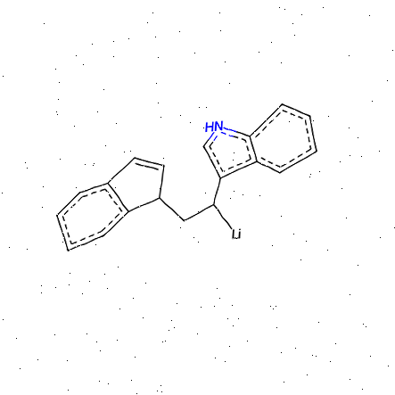 [Li][CH](CC1C=Cc2ccccc21)c1c[nH]c2ccccc12